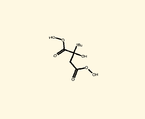 CC(C)(C)C(O)(CC(=O)OO)C(=O)OO